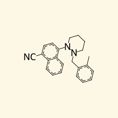 Cc1ccccc1CN1CCCCN1c1ccc(C#N)c2ccccc12